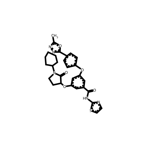 Cc1nnc(-c2ccc(Oc3cc(OC4CCN(C5CCCCC5)C4=O)cc(C(=O)Nc4nccs4)c3)cc2)o1